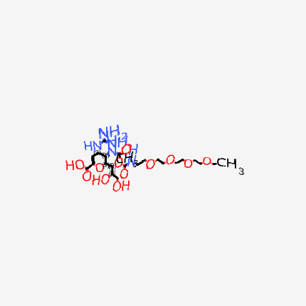 CCOCCOCCOCCOCCNC(=O)O[C@@H]([C@@H]1OC(C(=O)O)=C[C@H](NC(=N)N)[C@H]1NC(C)=O)[C@H](O)CO